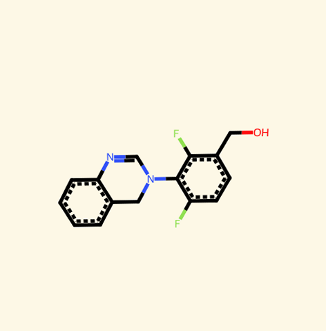 OCc1ccc(F)c(N2C=Nc3ccccc3C2)c1F